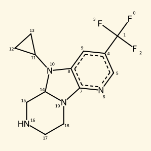 FC(F)(F)c1cnc2c(c1)N(C1CC1)C1CNCCN21